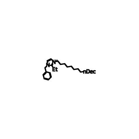 CCCCCCCCCCCCCCCCCC[n+]1ccn(Cc2ccccc2)c1CC